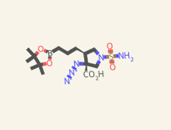 CC1(C)OB(CCC[C@H]2CN(S(N)(=O)=O)C[C@@]2(N=[N+]=[N-])C(=O)O)OC1(C)C